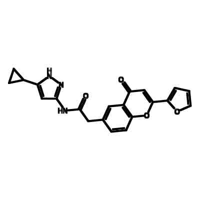 O=C(Cc1ccc2oc(-c3ccco3)cc(=O)c2c1)Nc1cc(C2CC2)[nH]n1